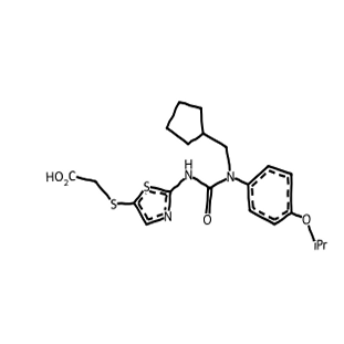 CC(C)Oc1ccc(N(CC2CCCC2)C(=O)Nc2ncc(SCC(=O)O)s2)cc1